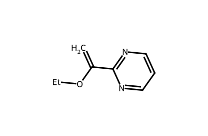 C=C(OCC)c1ncccn1